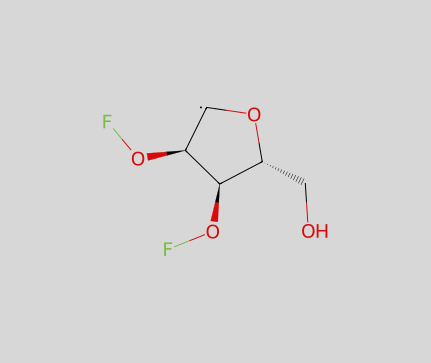 OC[C@H]1O[CH][C@H](OF)[C@@H]1OF